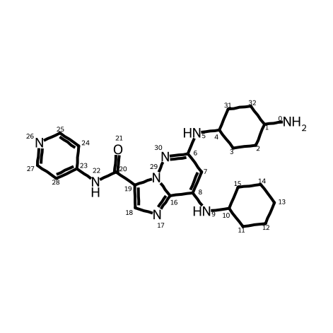 NC1CCC(Nc2cc(NC3CCCCC3)c3ncc(C(=O)Nc4ccncc4)n3n2)CC1